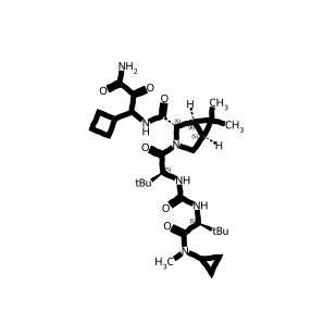 CN(C(=O)[C@@H](NC(=O)N[C@H](C(=O)N1C[C@H]2[C@@H]([C@H]1C(=O)NC(C(=O)C(N)=O)C1CCC1)C2(C)C)C(C)(C)C)C(C)(C)C)C1CC1